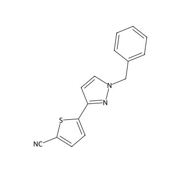 N#Cc1ccc(-c2ccn(Cc3ccccc3)n2)s1